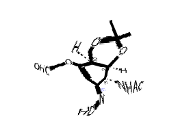 CC(=O)N[C@@H]1/C(=N/O)C=C(OC=O)[C@H]2OC(C)(C)O[C@H]21